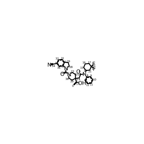 C=C(O)C1(CC(=O)N(c2ccccc2)C2CCCC(F)(F)C2)CCN(C(=O)N2CCc3ccc(C#N)cc32)CC1